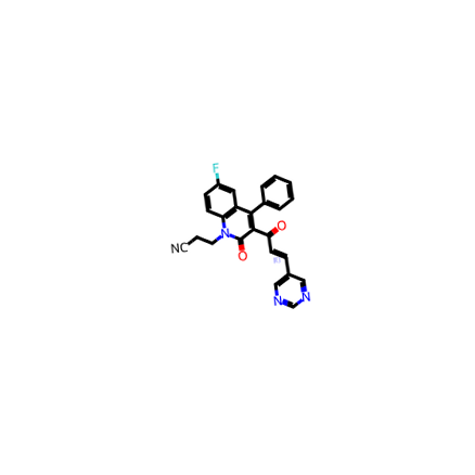 N#CCCn1c(=O)c(C(=O)/C=C/c2cncnc2)c(-c2ccccc2)c2cc(F)ccc21